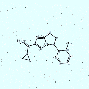 C=C(c1nc2n(n1)C(C1N=CC=CC1F)CC2)C1CC1